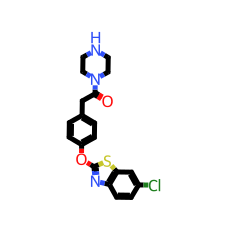 O=C(Cc1ccc(Oc2nc3ccc(Cl)cc3s2)cc1)N1CCNCC1